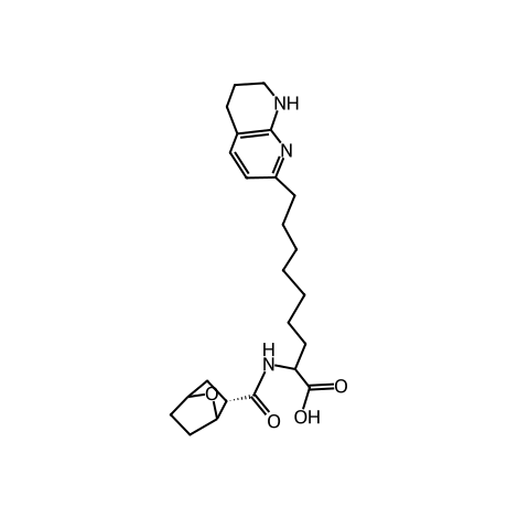 O=C(O)C(CCCCCCCc1ccc2c(n1)NCCC2)NC(=O)[C@H]1CC2CCC1O2